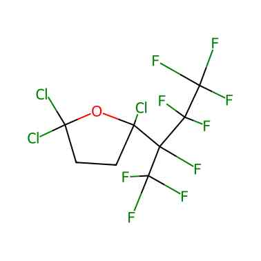 FC(F)(F)C(F)(F)C(F)(C(F)(F)F)C1(Cl)CCC(Cl)(Cl)O1